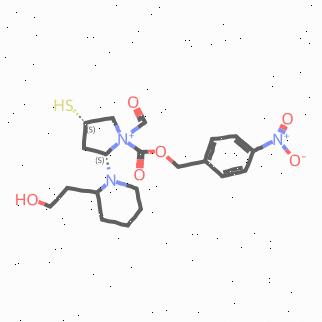 O=C[N+]1(C(=O)OCc2ccc([N+](=O)[O-])cc2)C[C@@H](S)C[C@H]1N1CCCCC1CCO